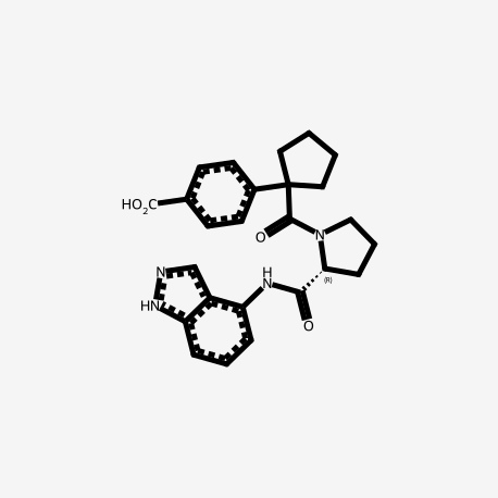 O=C(O)c1ccc(C2(C(=O)N3CCC[C@@H]3C(=O)Nc3cccc4[nH]ncc34)CCCC2)cc1